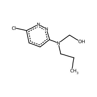 CCCN(CO)c1ccc(Cl)nn1